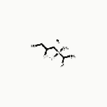 CCC(N)[N+](C)(C)CC(O)CO.[Br-]